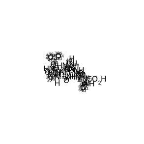 CC[C@H](C)[C@H](NC(=O)CNC(=O)[C@H](CCC(N)=O)NC(=O)[C@@H]1CCCN1C(=O)CNC(=O)OCC1c2ccccc2-c2ccccc21)C(=O)N[C@@H](C)C(=O)NCC(=O)N[C@@H](Cc1c[nH]c2ccccc12)C(=O)NCC(=O)O